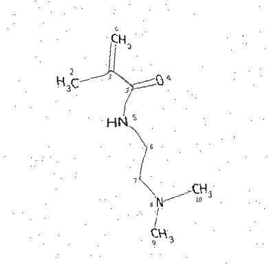 C=C(C)C(=O)NCCN(C)C